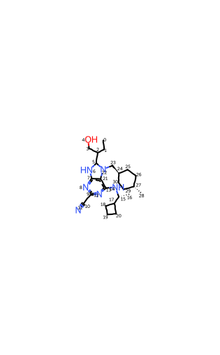 CCC(CO)C1Nc2nc(C#N)nc(N[C@H](C)C3CCC3)c2N1C[C@H]1CC[C@H](C)CC1